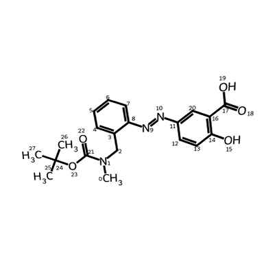 CN(Cc1ccccc1/N=N/c1ccc(O)c(C(=O)O)c1)C(=O)OC(C)(C)C